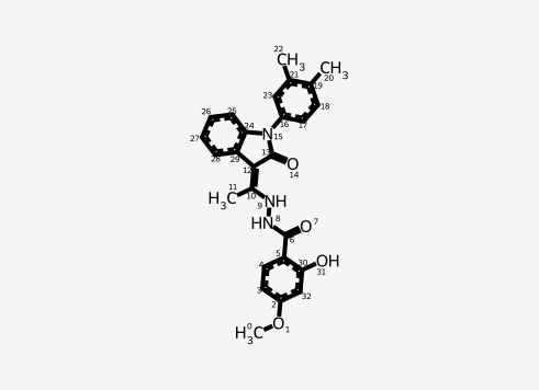 COc1ccc(C(=O)NN/C(C)=C2\C(=O)N(c3ccc(C)c(C)c3)c3ccccc32)c(O)c1